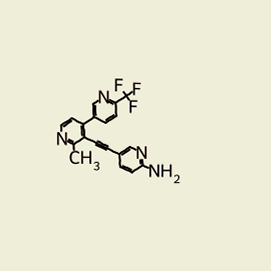 Cc1nccc(-c2ccc(C(F)(F)F)nc2)c1C#Cc1ccc(N)nc1